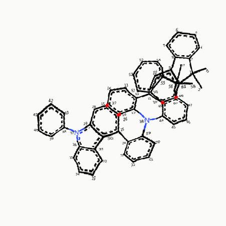 CC1(C)c2ccccc2-c2cc(-c3ccccc3N(c3ccccc3-c3cccc4c3c3ccccc3n4-c3ccccc3)c3cccc4c3-c3ccccc3C4(C)C)ccc21